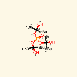 CCCCC(O)(CCCC)OP(=O)(OC(O)(CCCC)CCCC)OC(O)(CCCC)CCCC